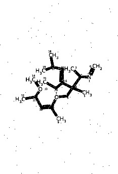 C=NC(C)C(C)(CO/C(C)=C\C(C)OC)/C(=C/C(C)C)CC